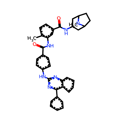 Cc1ccc(C(=O)NC2CC3CCC(C2)N3C)cc1NC(=O)c1ccc(Nc2nc(-c3ccccc3)c3ccccc3n2)cc1